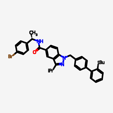 CC(C)c1nn(Cc2ccc(-c3ccccc3C(C)(C)C)cc2)c2ccc(C(=O)N[C@@H](C)c3ccc(Br)cc3)cc12